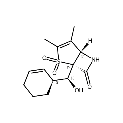 CC1=C(C)S(=O)(=O)[C@@]2([C@@H](O)[C@@H]3C=CCCC3)C(=O)N[C@@H]12